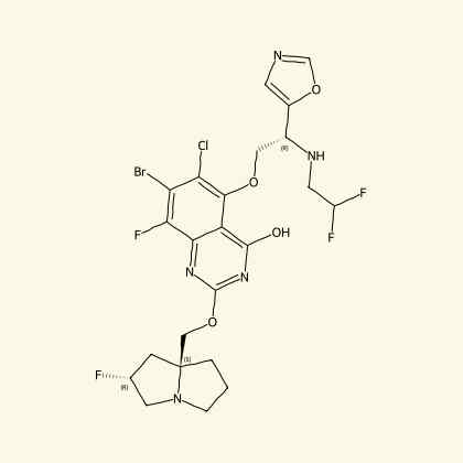 Oc1nc(OC[C@@]23CCCN2C[C@H](F)C3)nc2c(F)c(Br)c(Cl)c(OC[C@@H](NCC(F)F)c3cnco3)c12